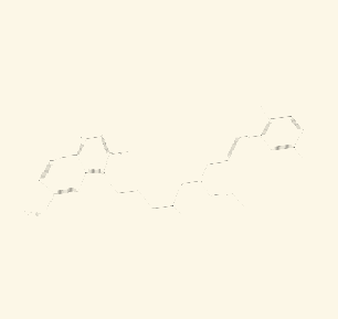 COc1ccc2ncc(F)c(CCCC(CN(C/C=C/c3cc(F)ccc3F)CCF)C(=O)O)c2c1